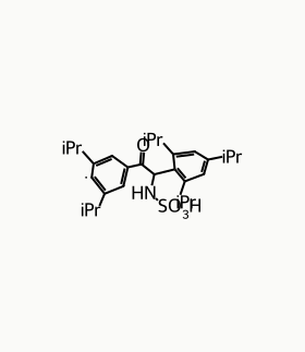 CC(C)c1[c]c(C(C)C)cc(C(=O)C(NS(=O)(=O)O)c2c(C(C)C)cc(C(C)C)cc2C(C)C)c1